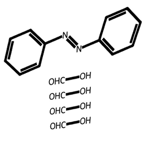 O=CO.O=CO.O=CO.O=CO.c1ccc(N=Nc2ccccc2)cc1